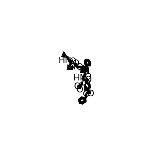 O=C(O)CC[C@H](NC(=O)c1cc(OCC(=O)N2CCC[C@H]2C(=O)NCC2CC2)n(-c2ccccc2)n1)C(=O)N1CCN(C(=O)OCc2ccccc2)CC1